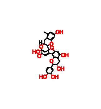 Cc1cc(O)cc2c1C[C@@H]1OC3(O)CC4(Oc5cc(O)c6c(c5C4=CC3=O)O[C@H](c3ccc(O)c(O)c3)[C@@H](O)C6)C1O2